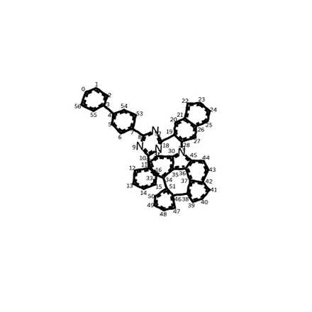 c1ccc(-c2ccc(-c3nc(-c4ccccc4)nc(-c4cc5ccccc5cc4-n4c5cccc6c5c5c7c(cccc7ccc54)-c4ccccc4-6)n3)cc2)cc1